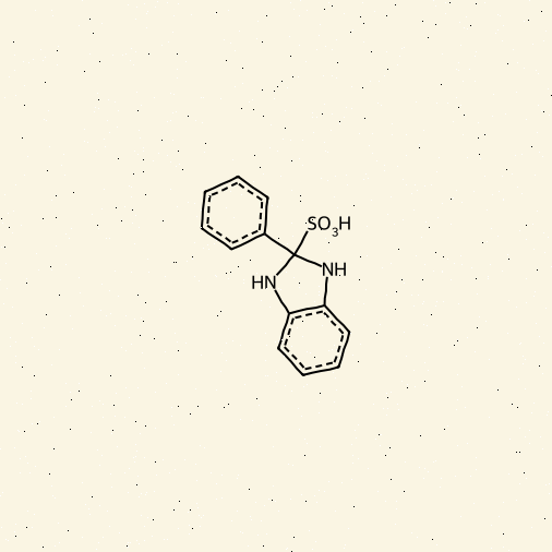 O=S(=O)(O)C1(c2ccccc2)Nc2ccccc2N1